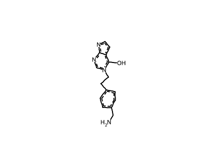 NCc1ccc(CCn2cnc3nccc-3c2O)cc1